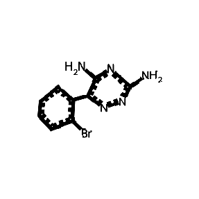 Nc1nnc(-c2ccccc2Br)c(N)n1